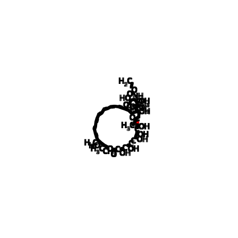 C=CCOC(=O)NC1C(O)C(C)OC(OC2/C=C/C=C/C=C/C=C/C=C/C=C/C=C/C(C)C(O)C(C)C(C)OC(=O)CC(O)CC(O)CCC(O)C(O)CC(O)CC3(OC)CC(O)C(NC(C)=O)C(C2)O3)C1O